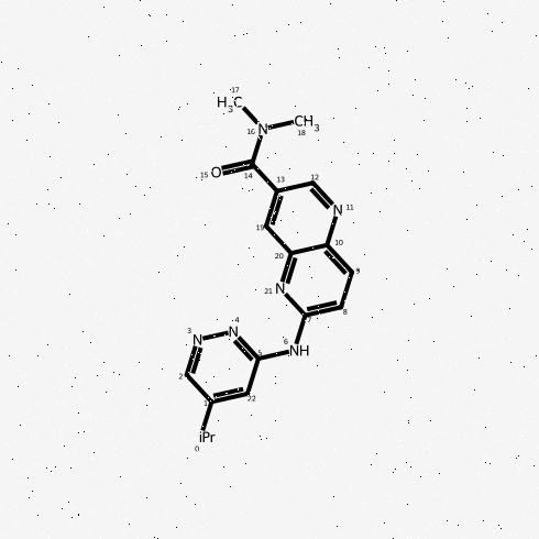 CC(C)c1cnnc(Nc2ccc3ncc(C(=O)N(C)C)cc3n2)c1